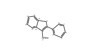 CCCCCCC1=C(c2ccccc2)[CH]c2ccccc21